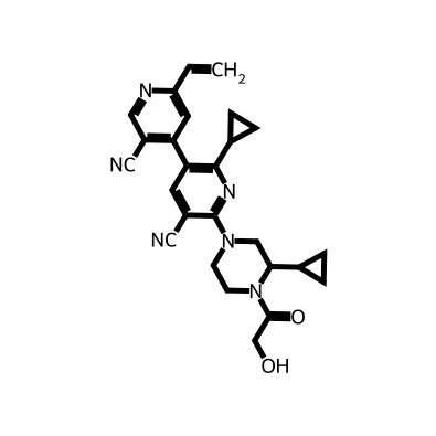 C=Cc1cc(-c2cc(C#N)c(N3CCN(C(=O)CO)C(C4CC4)C3)nc2C2CC2)c(C#N)cn1